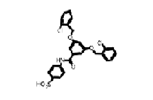 O=C(Nc1ccc(S(=O)(=O)O)cc1)c1cc(OCc2ccccc2Cl)cc(OCc2ccccc2Cl)c1